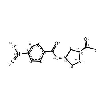 CC(=O)[C@@H]1C[C@H](OC(=O)c2ccc([N+](=O)[O-])cc2)CN1